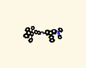 C(=C\c1ccc2cc(-c3cc(-c4ccccc4)c4c5ccccc5c5ccccc5c4c3-c3ccccc3)ccc2c1)/c1ccc2c(c1)C1(Cc3ccccc3C1)c1cc(N(c3ccccc3)c3ccccc3)ccc1-2